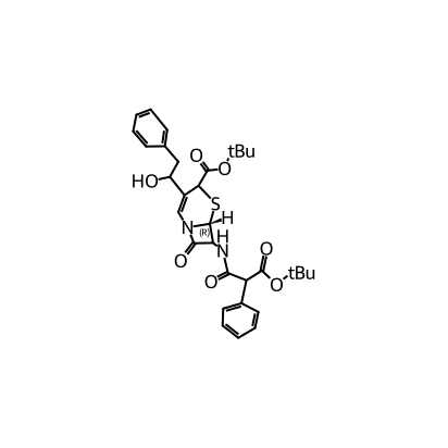 CC(C)(C)OC(=O)C1S[C@@H]2C(NC(=O)C(C(=O)OC(C)(C)C)c3ccccc3)C(=O)N2C=C1C(O)Cc1ccccc1